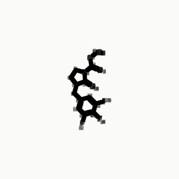 CC(C)(C)OC(=O)N1CCC(Cc2cc(F)c(F)c(F)c2)C1=O